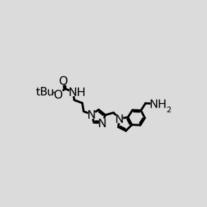 CC(C)(C)OC(=O)NCCCn1cnc(Cn2ccc3ccc(CN)cc32)c1